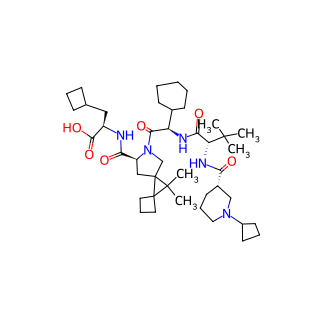 CC(C)(C)[C@H](NC(=O)[C@H]1CCCN(C2CCC2)C1)C(=O)N[C@@H](C(=O)N1CC2(C[C@H]1C(=O)N[C@H](CC1CCC1)C(=O)O)C(C)(C)C21CCC1)C1CCCCC1